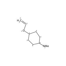 C=COC1CCC(NC)CC1